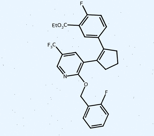 CCOC(=O)c1cc(C2=C(c3cc(C(F)(F)F)cnc3OCc3ccccc3F)CCC2)ccc1F